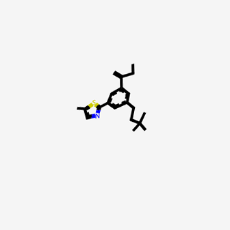 C=C(CC)c1cc(CCC(C)(C)C)cc(-c2ncc(C)s2)c1